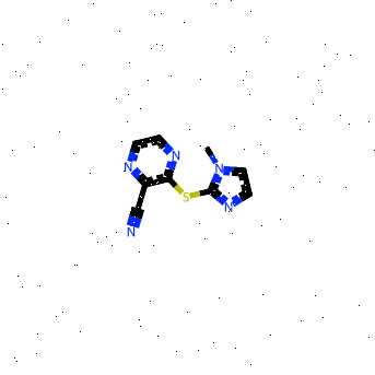 Cn1ccnc1Sc1nccnc1C#N